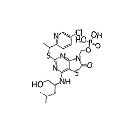 CC(C)CC(CO)Nc1nc(SC(C)c2ccc(Cl)cn2)nc2c1sc(=O)n2COP(=O)(O)O